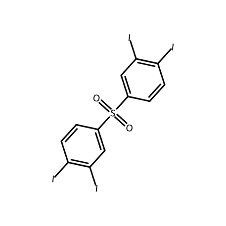 O=S(=O)(c1ccc(I)c(I)c1)c1ccc(I)c(I)c1